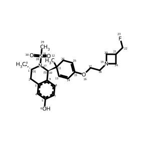 C[C@H]1Cc2cc(O)ccc2[C@H](C2(C)C=CC(OCCN3CC(CF)C3)=CC2)N1S(C)(=O)=O